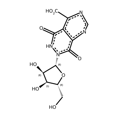 O=C(O)c1ncnc2c(=O)n([C@@H]3O[C@H](CO)[C@@H](O)[C@H]3O)[nH]c(=O)c12